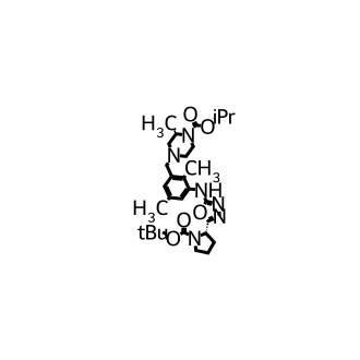 Cc1cc(CN2CCN(C(=O)OC(C)C)[C@@H](C)C2)c(C)c(Nc2nnc([C@@H]3CCCN3C(=O)OC(C)(C)C)o2)c1